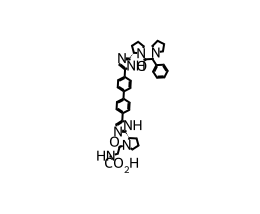 O=C(O)NCC(=O)N1CCC[C@H]1c1ncc(-c2ccc(-c3ccc(-c4cnc([C@@H]5CCCN5C(=O)C(c5ccccc5)N5CCCC5)[nH]4)cc3)cc2)[nH]1